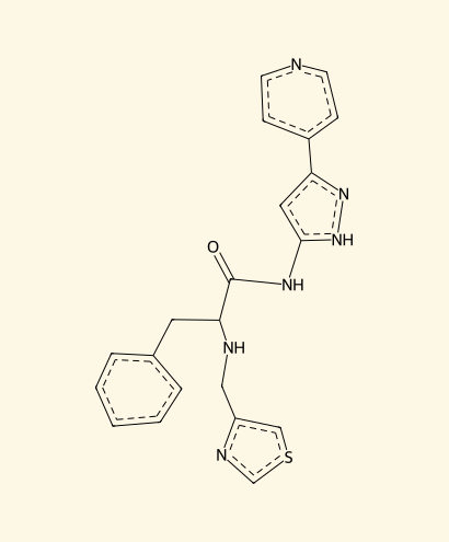 O=C(Nc1cc(-c2ccncc2)n[nH]1)C(Cc1ccccc1)NCc1cscn1